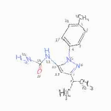 Cc1ccc(-n2nc(C(C)C)cc2NC(N)=O)cc1